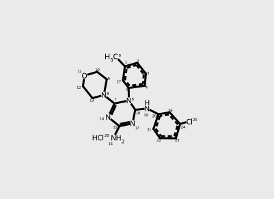 Cc1cccc(N2C(N3CCOCC3)=NC(N)=NC2Nc2cccc(Cl)c2)c1.Cl